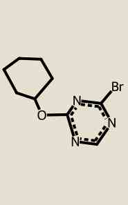 Brc1ncnc(OC2CCCCC2)n1